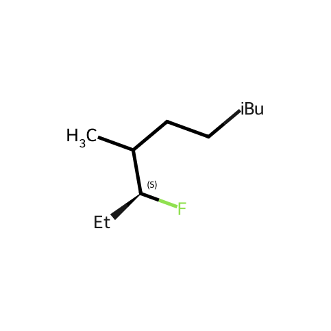 CCC(C)CCC(C)[C@@H](F)CC